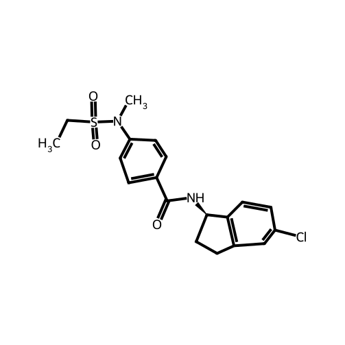 CCS(=O)(=O)N(C)c1ccc(C(=O)N[C@@H]2CCc3cc(Cl)ccc32)cc1